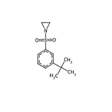 CC(C)(C)c1cccc(S(=O)(=O)N2CC2)c1